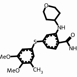 COc1cc(Sc2ccc(C(N)=O)c(NC3CCOCC3)c2)cc(C)c1OC